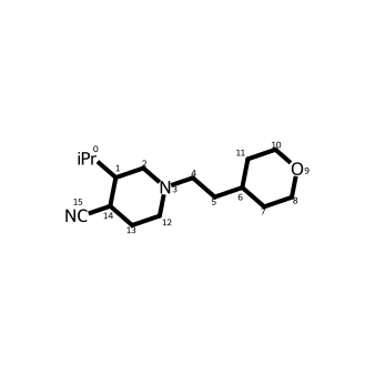 CC(C)C1CN(CCC2CCOCC2)CCC1C#N